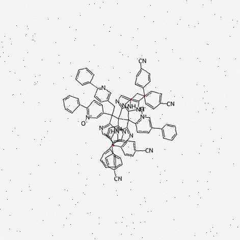 N#Cc1ccc(Cc2cnc(C(Cc3ccc(-c4ccccc4)nc3)(c3ccc(-c4ccccc4)[n+]([O-])c3)C(c3ccc(-c4ccccc4)cn3)(c3ncc(Cc4ccc(C#N)cc4)[nH]3)C(c3ncc(Cc4ccc(C#N)cc4)[nH]3)(c3ncc(Cc4ccc(C#N)cc4)[nH]3)c3ccc(-c4ccccc4)c[n+]3[O-])[nH]2)cc1